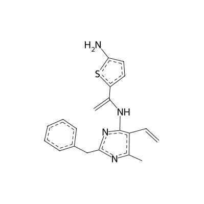 C=Cc1c(C)nc(Cc2ccccc2)nc1NC(=C)c1ccc(N)s1